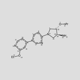 CCCO[C@H]1CN(c2ccc(-c3ccnc(OCC)c3)cn2)C[C@@H]1N